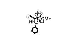 CCCC(N[C@@H](C)c1ccccc1)C(OCC)(OCC)C(=O)OC